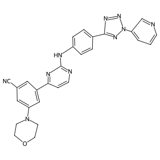 N#Cc1cc(-c2ccnc(Nc3ccc(-c4nnn(-c5cccnc5)n4)cc3)n2)cc(N2CCOCC2)c1